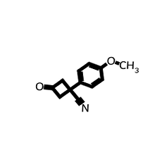 COc1ccc(C2(C#N)CC(=O)C2)cc1